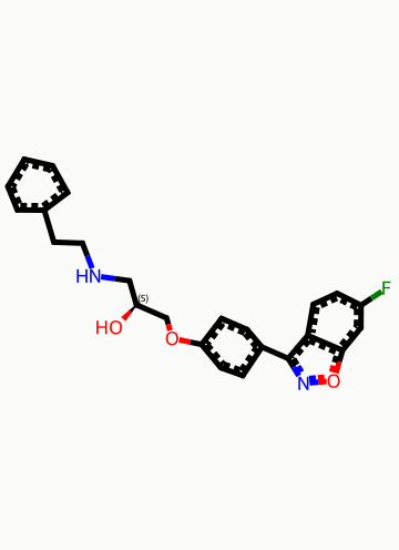 O[C@@H](CNCCc1ccccc1)COc1ccc(-c2noc3cc(F)ccc23)cc1